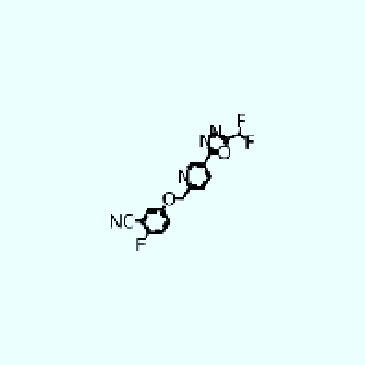 N#Cc1cc(OCc2ccc(-c3nnc(C(F)F)o3)cn2)ccc1F